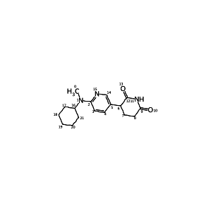 CN(c1ccc(C2CCC(=O)NC2=O)cn1)C1CCCCC1